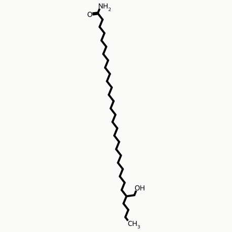 CCCCC(CO)CCCCCCCCCCCCCCCCCCCCCCCCCCC(N)=O